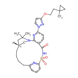 CC1(C)C[C@H]2CCCCc3cccc(n3)S(=O)(=O)NC(=O)c3ccc(-n4ccc(OCCC5(C(F)(F)F)CC5)n4)nc3N1C2